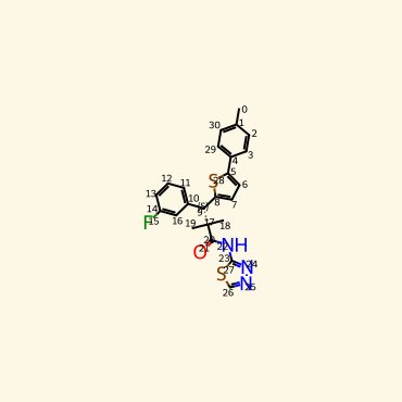 Cc1ccc(-c2ccc([C@@H](c3cccc(F)c3)C(C)(C)C(=O)Nc3nncs3)s2)cc1